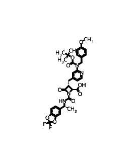 COc1ccc(CN(C(=O)OC(C)(C)C)c2cc(C[C@H]3C(=O)N(C(=O)N[C@H](C)c4ccc5c(c4)OC(F)(F)O5)[C@@H]3C(=O)O)ccn2)cc1